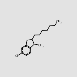 CCCCCCCC1Cc2cc(Cl)ccc2N1C